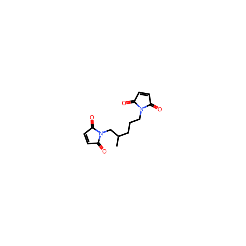 CC(CCCN1C(=O)C=CC1=O)CN1C(=O)C=CC1=O